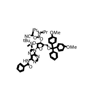 COc1ccc(C(OC[C@H]2O[C@@H](n3cnc4c(NC(=O)c5ccccc5)ncnc43)[C@H](O[Si](C)(C)C(C)(C)C)[C@@H]2OP(OC(C)C#N)N(C(C)C)C(C)C)(c2ccccc2)c2ccc(OC)cc2)cc1